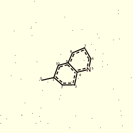 [CH2]c1ccc2ncccc2c1